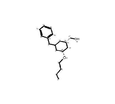 CCCCO[C@@H]1CC(Cc2ccccc2)C[C@H](CO)C1